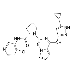 O=C(Nc1cnccc1Cl)[C@@H]1CCCN1c1nc(Nc2cc(C3CC3)[nH]n2)c2cccn2n1